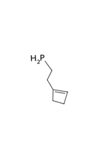 PCCC1=CCC1